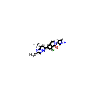 Cc1cn2nc(-c3cc(F)c4c(=O)n([C@H]5CCNC5)ccc4c3)cc(C)c2n1